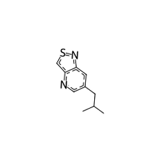 CC(C)Cc1cnc2csnc2c1